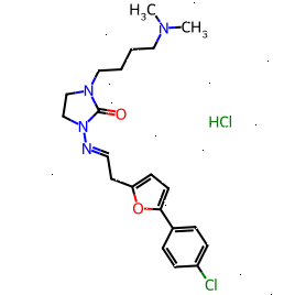 CN(C)CCCCN1CCN(N=CCc2ccc(-c3ccc(Cl)cc3)o2)C1=O.Cl